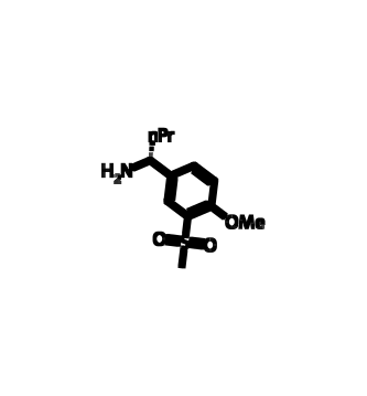 CCC[C@@H](N)c1ccc(OC)c(S(C)(=O)=O)c1